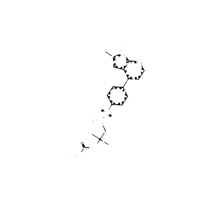 Cc1cc2c(-c3ccc(S(=O)(=O)NCC(C)(C)OC(=O)C(F)(F)F)cc3)ccnc2[nH]1